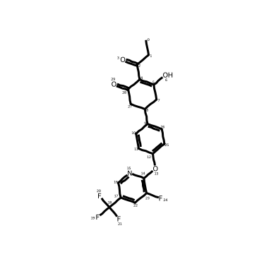 CCC(=O)C1=C(O)CC(c2ccc(Oc3ncc(C(F)(F)F)cc3F)cc2)CC1=O